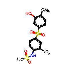 COc1ccc(S(=O)(=O)c2ccc(NS(=O)(=O)C(F)(F)F)c([N+](=O)[O-])c2)cc1O